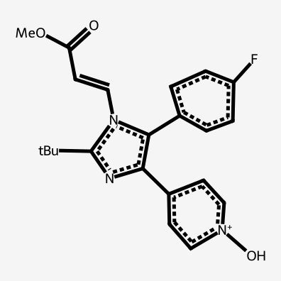 COC(=O)/C=C/n1c(C(C)(C)C)nc(-c2cc[n+](O)cc2)c1-c1ccc(F)cc1